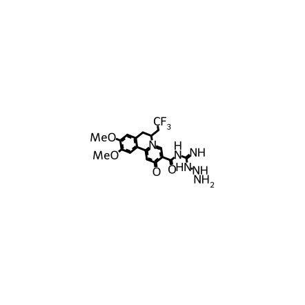 COc1cc2c(cc1OC)-c1cc(=O)c(C(=O)NC(=N)NNN)cn1C(CC(F)(F)F)C2